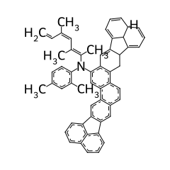 C=C/C(C)=C\C(C)=C(/C)N(c1ccc(C)cc1C)c1cc2c(ccc3cc4c(cc32)-c2cccc3cccc-4c23)c2c1C=C1C3=CC=C[C@H]4C=CC=C(C1C2)C34